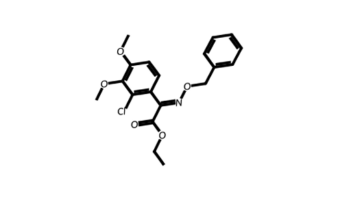 CCOC(=O)/C(=N/OCc1ccccc1)c1ccc(OC)c(OC)c1Cl